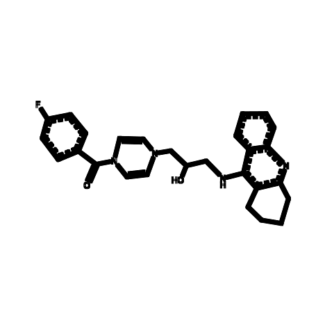 O=C(c1ccc(F)cc1)N1C=CN(CC(O)CNc2c3c(nc4ccccc24)CCCC3)C=C1